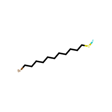 FSCCCCCCCCCCCBr